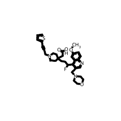 COc1ccc2ncc(CN3CCOCC3)c(C(F)CCC3(CC(=O)O)CCN(CC#Cc4cccs4)CC3)c2c1